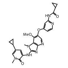 COc1c(Oc2ccnc(NC(=O)C3CC3)c2)cnc2nc(Nc3cc(C4CC4)cn(C)c3=O)n(C)c12